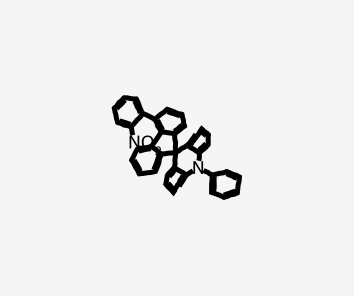 O=[N+]([O-])c1ccccc1-c1cccc2c1-c1ccccc1C21c2ccccc2N(c2ccccc2)c2ccccc21